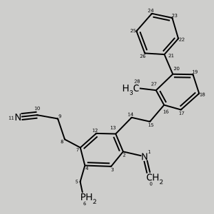 C=Nc1cc(CP)c(CCC#N)cc1CCc1cccc(-c2ccccc2)c1C